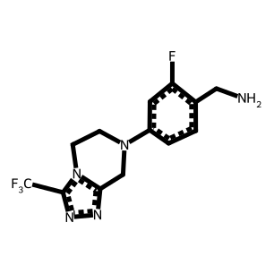 NCc1ccc(N2CCn3c(nnc3C(F)(F)F)C2)cc1F